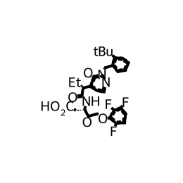 CC[C@H](C(=O)N[C@@H](CC(=O)O)C(=O)COc1c(F)ccc(F)c1F)c1ccnn(Cc2ccccc2C(C)(C)C)c1=O